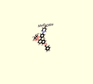 COC(OC)C1CCN(c2ccc(C3=C(B4OC(C)(C)C(C)(C)O4)CCc4cc(OCc5ccccc5)ccc43)cc2)CC1